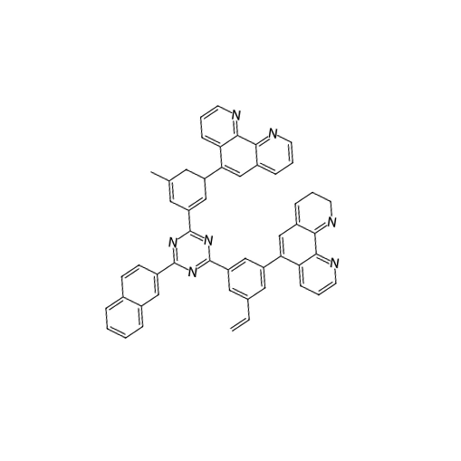 C=Cc1cc(-c2nc(C3=CC(c4cc5cccnc5c5ncccc45)CC(C)=C3)nc(-c3ccc4ccccc4c3)n2)cc(-c2cc3c(c4ncccc24)=NCCC=3)c1